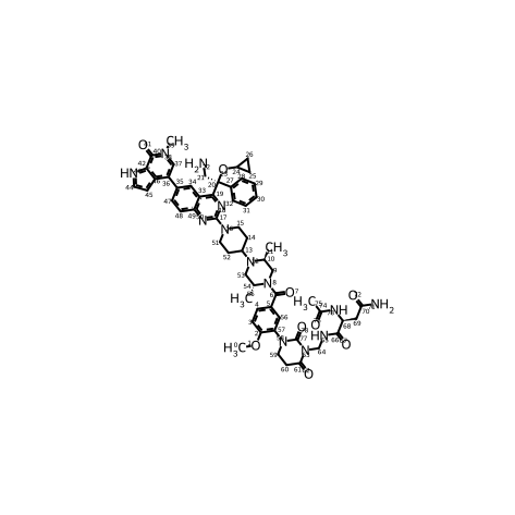 COc1ccc(C(=O)N2C[C@H](C)N(C3CCN(c4nc([C@@](CN)(OC5CC5)c5ccccc5)c5cc(-c6cn(C)c(=O)c7[nH]ccc67)ccc5n4)CC3)C[C@H]2C)cc1N1CCC(=O)N(CNC(=O)[C@H](CC(N)=O)NC(C)=O)C1=O